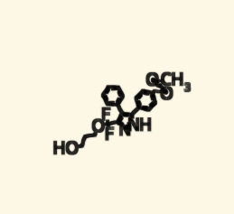 CS(=O)(=O)c1ccc(-c2[nH]nc(C(F)(F)OCCCO)c2-c2ccccc2)cc1